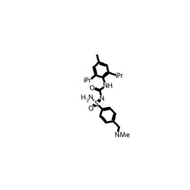 CNCc1ccc([S@](N)(=O)=NC(=O)Nc2c(C(C)C)cc(C)cc2C(C)C)cc1